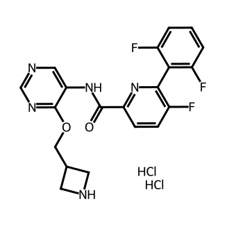 Cl.Cl.O=C(Nc1cncnc1OCC1CNC1)c1ccc(F)c(-c2c(F)cccc2F)n1